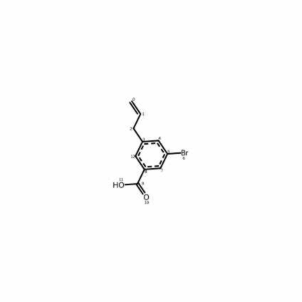 C=CCc1cc(Br)cc(C(=O)O)c1